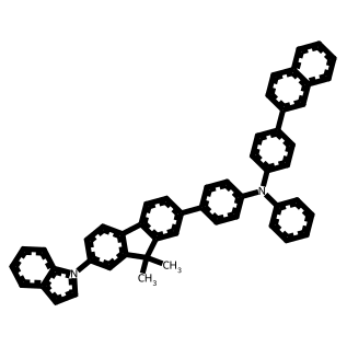 CC1(C)c2cc(-c3ccc(N(c4ccccc4)c4ccc(-c5ccc6ccccc6c5)cc4)cc3)ccc2-c2ccc(-n3ccc4ccccc43)cc21